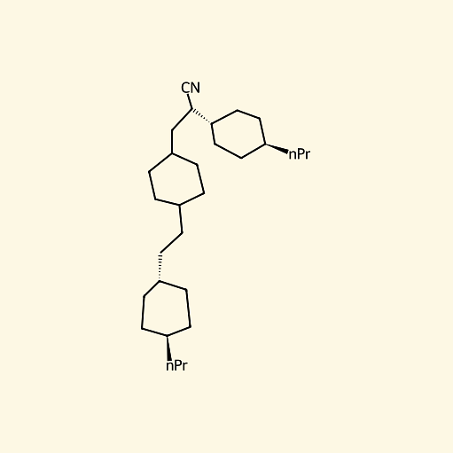 CCC[C@H]1CC[C@H](CCC2CCC(CC(C#N)[C@H]3CC[C@H](CCC)CC3)CC2)CC1